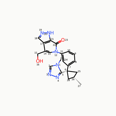 Cn1cnnc1[C@]1(c2cccc(-n3cc(CO)c4cn[nH]c4c3=O)c2)C[C@H](C)C1